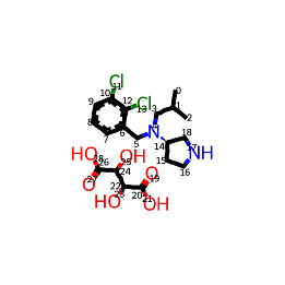 CC(C)CN(Cc1cccc(Cl)c1Cl)[C@H]1CCNC1.O=C(O)C(O)C(O)C(=O)O